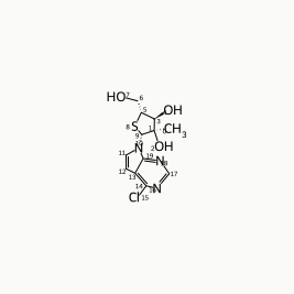 C[C@@]1(O)[C@H](O)[C@@H](CO)S[C@H]1n1ccc2c(Cl)ncnc21